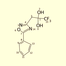 OC(O)(Cc1noc(-c2ccccc2)n1)C(F)(F)F